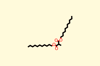 CCCCCCCCCCCOC(=O)C(C)C(=O)OCCCCCCCCCCC